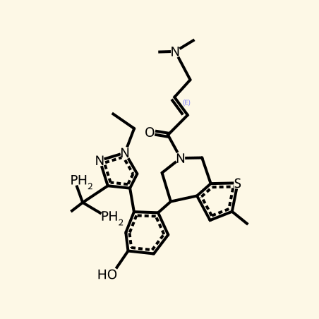 CCn1cc(-c2cc(O)ccc2C2CN(C(=O)/C=C/CN(C)C)Cc3sc(C)cc32)c(C(C)(P)P)n1